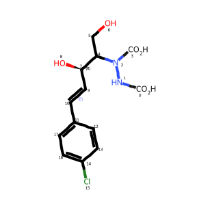 O=C(O)NN(C(=O)O)C(CO)[C@H](O)/C=C/c1ccc(Cl)cc1